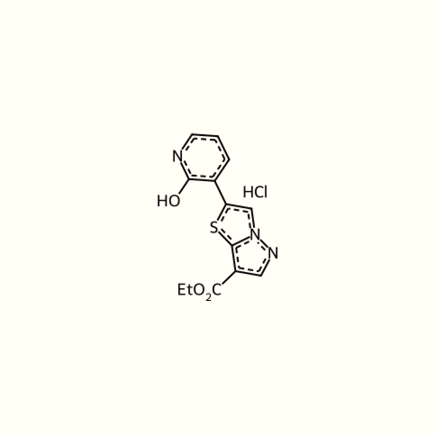 CCOC(=O)c1cnn2cc(-c3cccnc3O)sc12.Cl